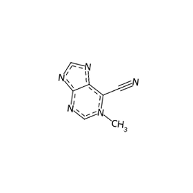 Cn1cnc2ncnc-2c1C#N